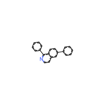 c1ccc(-c2ccc3c(-c4ccccc4)nccc3c2)cc1